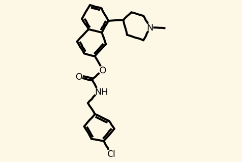 CN1CCC(c2cccc3ccc(OC(=O)NCc4ccc(Cl)cc4)cc23)CC1